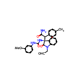 COc1cccc(NC(=O)N[C@]2(C(C(N)=O)c3ccc(C)cc3)C(=O)N(CC=O)c3ccccc32)c1